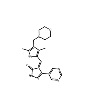 Cc1[nH]c(C=C2C(=O)NN=C2c2cncnc2)c(C)c1CN1CCOCC1